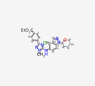 CCOC(=O)c1ccc(-c2nc(Nc3ccc4c(cnn4C4CCCCO4)c3Cl)n(C)n2)cc1